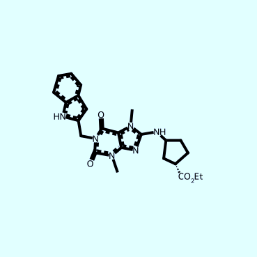 CCOC(=O)[C@H]1CCC(Nc2nc3c(c(=O)n(Cc4cc5ccccc5[nH]4)c(=O)n3C)n2C)C1